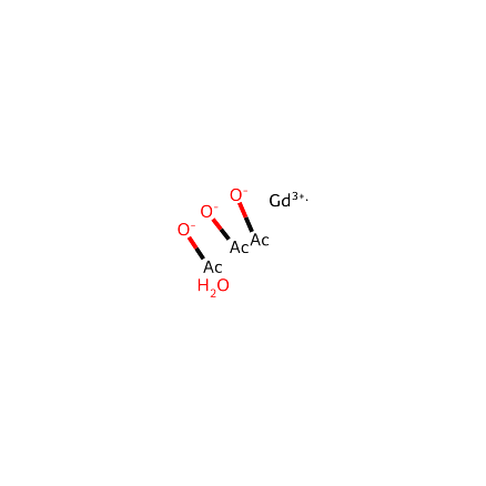 CC(=O)[O-].CC(=O)[O-].CC(=O)[O-].O.[Gd+3]